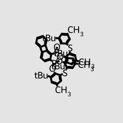 Cc1cc2c(c(C(C)(C)C)c1)OP(c1ccc3c(c1P1Oc4c(cc(C)cc4C(C)(C)C)Sc4cc(C)cc(C(C)(C)C)c4O1)-c1ccccc1-3)Oc1c(cc(C)cc1C(C)(C)C)S2